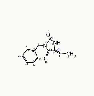 C/C=C1\NC(=O)N(Cc2ccccc2)C1=O